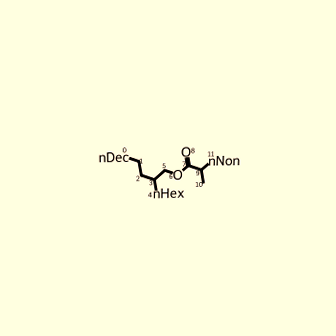 CCCCCCCCCCCCC(CCCCCC)COC(=O)C(C)CCCCCCCCC